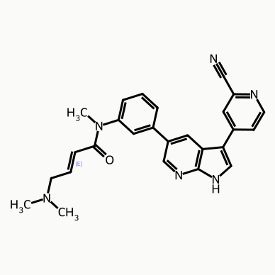 CN(C)C/C=C/C(=O)N(C)c1cccc(-c2cnc3[nH]cc(-c4ccnc(C#N)c4)c3c2)c1